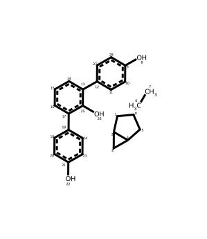 C1CC2CC2C1.CC.Oc1ccc(-c2cccc(-c3ccc(O)cc3)c2O)cc1